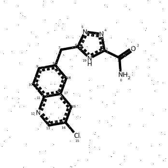 NC(=O)c1nnc(Cc2ccc3ncc(Cl)cc3c2)[nH]1